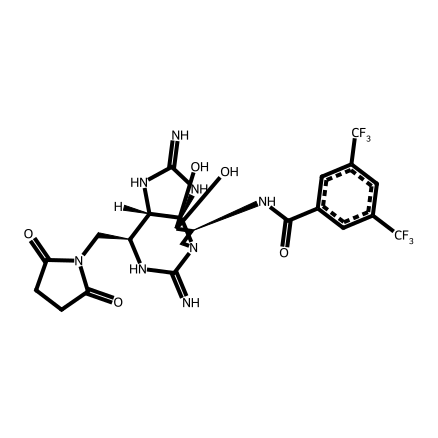 N=C1N[C@H]2[C@H](CN3C(=O)CCC3=O)NC(=N)N3C[C@H](NC(=O)c4cc(C(F)(F)F)cc(C(F)(F)F)c4)C(O)(O)[C@]23N1